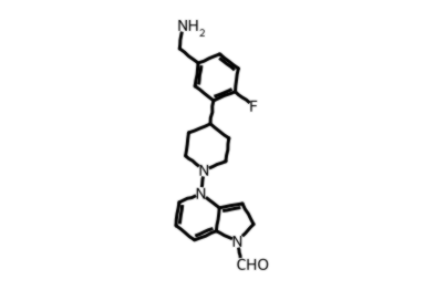 NCc1ccc(F)c(C2CCN(N3C=CC=C4C3=CCN4C=O)CC2)c1